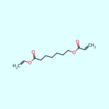 C=COC(=O)CCCCCCOC(=O)C=C